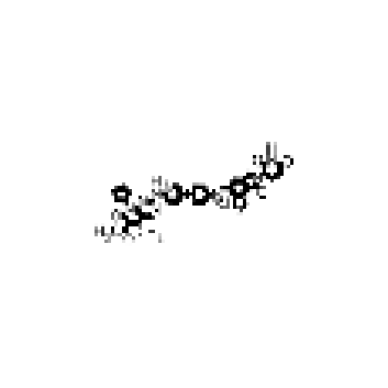 CC(=O)c1c(C)c2cnc(Nc3ccc(N4CCC(N(C)Cc5cc(F)c6c(c5)CN(C5CCC(=O)NC5=O)C6=O)CC4)cn3)nc2n(C2CCCC2)c1=O